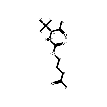 CC(=O)CCCOC(=O)NC(C(C)=O)C(C)(C)C